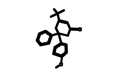 COc1ccc(C2(c3ccccc3)CC(=O)C=C(C(C)(C)C)C2)cc1